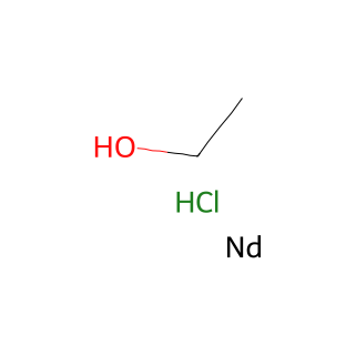 CCO.Cl.[Nd]